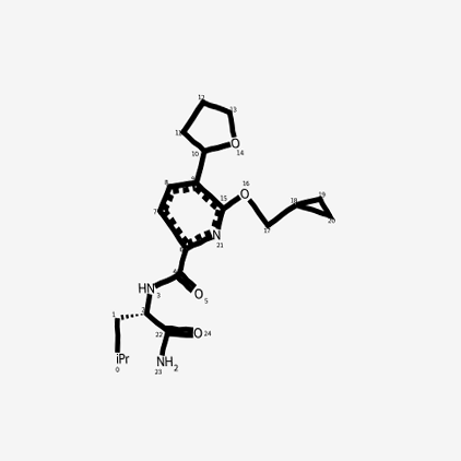 CC(C)C[C@H](NC(=O)c1ccc(C2CCCO2)c(OCC2CC2)n1)C(N)=O